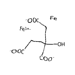 O=C([O-])CC(O)(CC(=O)[O-])C(=O)[O-].[Fe+3].[Fe]